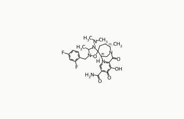 CC1N(Cc2ccc(F)cc2F)OC2(CC[C@H](C)N3C[C@H]2n2cc(C(N)=O)c(=O)c(O)c2C3=O)N1N(C)C